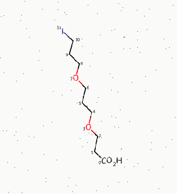 O=C(O)CCOCCCOCCCI